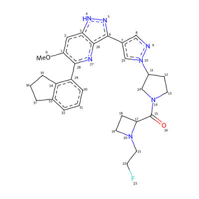 COc1cc2[nH]nc(-c3cnn(C4CCN(C(=O)C5CCN5CCF)C4)c3)c2nc1-c1cccc2c1CCC2